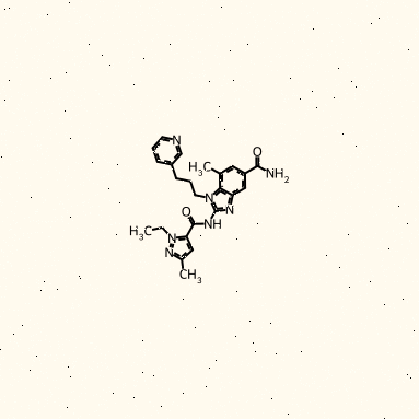 CCn1nc(C)cc1C(=O)Nc1nc2cc(C(N)=O)cc(C)c2n1CCCc1cccnc1